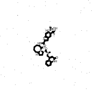 CN(Cc1cc(=O)[nH]c2ccccc12)C(=O)[C@@H]1CC[C@@H]2CCCC[C@H](NC(=O)c3cc4cc(C(F)(F)P(=O)(O)O)ccc4s3)C(=O)N21